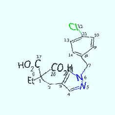 CCC(Cc1cnn(Cc2ccc(Cl)cc2)c1)(C(=O)O)C(=O)O